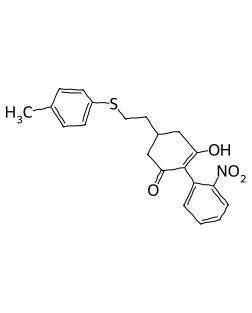 Cc1ccc(SCCC2CC(=O)C(c3ccccc3[N+](=O)[O-])=C(O)C2)cc1